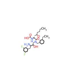 CCCCC(=O)C[C@@H](NC(=O)O)C(=O)N(Cc1cccc(CC)c1)C[C@@H](O)[C@@H](N)Cc1cc(F)cc(F)c1